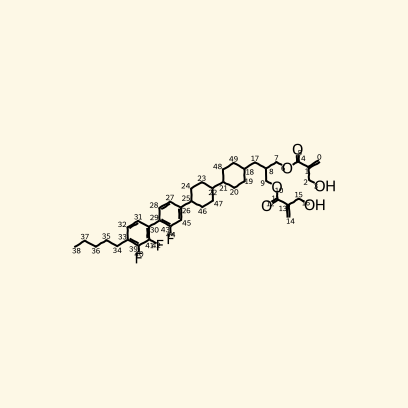 C=C(CO)C(=O)OCC(COC(=O)C(=C)CO)CC1CCC(C2CCC(c3ccc(-c4ccc(CCCCC)c(F)c4F)c(F)c3)CC2)CC1